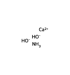 N.[Ca+2].[OH-].[OH-]